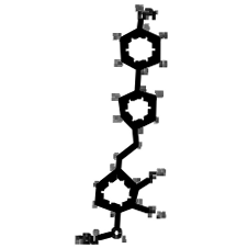 CCCCOc1ccc(CCc2ccc(-c3ccc(CCC)cc3)cc2)c(F)c1F